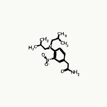 CC(C)CN(CC(C)C)c1ccc(CC(N)=O)cc1[N+](=O)[O-]